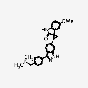 COc1ccc2c(c1)C1(C[C@H]1c1ccc3c(-c4ccc(CN(C)C)cc4)n[nH]c3c1)C(=O)N2